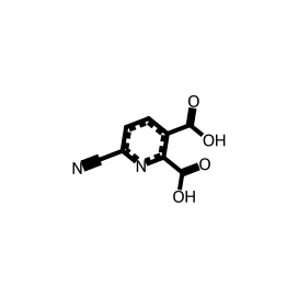 N#Cc1ccc(C(=O)O)c(C(=O)O)n1